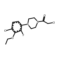 CCOc1c(Cl)ccc(N2CCN(C(=O)CCl)CC2)c1F